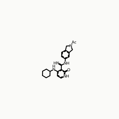 CC(=O)N1Cc2ccc(NC(=N)c3c(NC4CCCCC4)cc[nH]c3=O)cc2C1